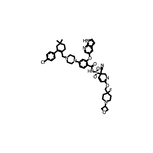 CC1(C)CCC(CN2CCN(c3ccc(C(=O)NS(=O)(=O)C4(C#N)C=CC(OCC5(F)CCN(C6COC6)CC5)=NC4)c(Oc4cnc5[nH]ccc5c4)c3)CC2)=C(c2ccc(Cl)cc2)C1